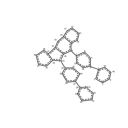 c1ccc(-c2ccc(-c3c4ccccc4cc4c5ccccc5n(-c5ccc(-c6ccccn6)cc5)c34)cc2)cc1